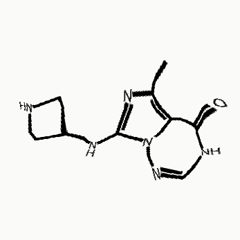 Cc1nc(NC2CNC2)n2nc[nH]c(=O)c12